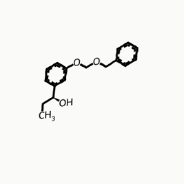 CC[C@H](O)c1cccc(OCOCc2ccccc2)c1